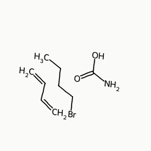 C=CC=C.CCCCBr.NC(=O)O